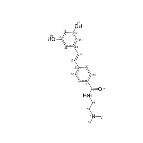 CN(C)CCNC(=O)c1ccc(/C=C/c2cc(O)cc(O)c2)cc1